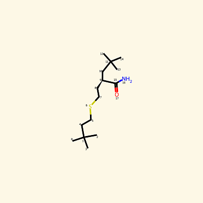 CC(C)(C)CCSCC[C@@H](CC(C)(C)C)C(N)=O